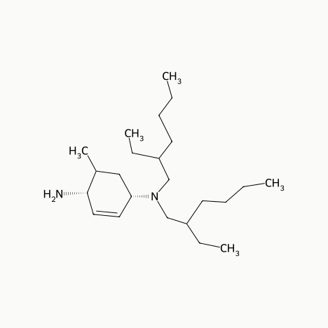 CCCCC(CC)CN(CC(CC)CCCC)[C@@H]1C=C[C@H](N)C(C)C1